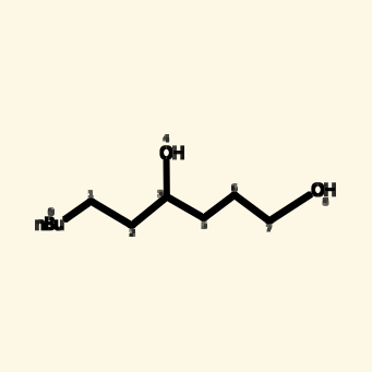 CCCCCCC(O)CCCO